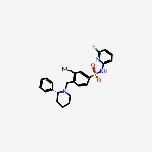 N#Cc1cc(S(=O)(=O)Nc2cccc(F)n2)ccc1CN1CCCC[C@@H]1c1ccccc1